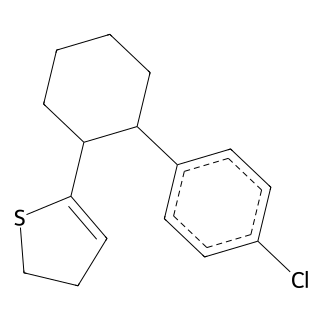 Clc1ccc(C2CCCCC2C2=CCCS2)cc1